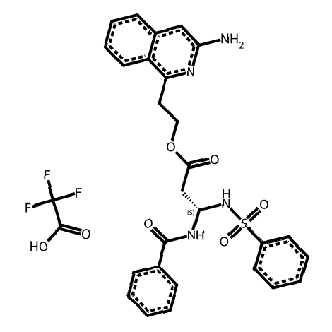 Nc1cc2ccccc2c(CCOC(=O)C[C@@H](NC(=O)c2ccccc2)NS(=O)(=O)c2ccccc2)n1.O=C(O)C(F)(F)F